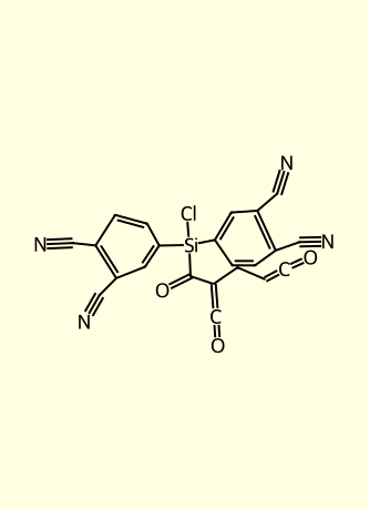 N#Cc1ccc([Si](Cl)(C(=O)C(=C=O)CC=C=O)c2ccc(C#N)c(C#N)c2)cc1C#N